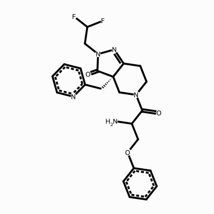 NC(COc1ccccc1)C(=O)N1CCC2=NN(CC(F)F)C(=O)[C@]2(Cc2ccccn2)C1